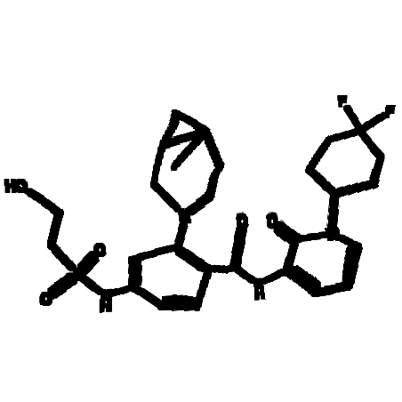 CC12CCN(c3cc(NS(=O)(=O)CCO)ccc3C(=O)Nc3cccn(C4CCC(F)(F)CC4)c3=O)CC1C2